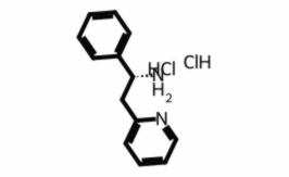 Cl.Cl.N[C@H](Cc1ccccn1)c1ccccc1